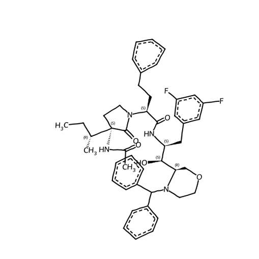 CC[C@@H](C)[C@@]1(NC(C)=O)CCN([C@@H](CCc2ccccc2)C(=O)N[C@@H](Cc2cc(F)cc(F)c2)[C@H](O)[C@H]2COCCN2C(c2ccccc2)c2ccccc2)C1=O